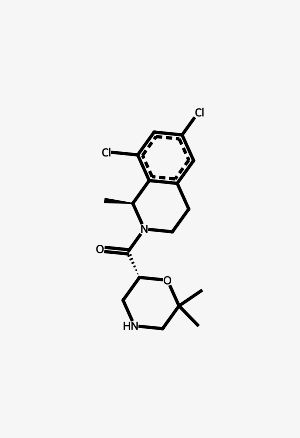 C[C@H]1c2c(Cl)cc(Cl)cc2CCN1C(=O)[C@H]1CNCC(C)(C)O1